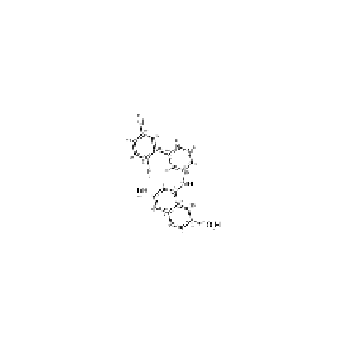 O=C(O)c1ccc2nccc(Nc3cnnc(-c4cc(Cl)ccc4F)c3)c2c1.[LiH]